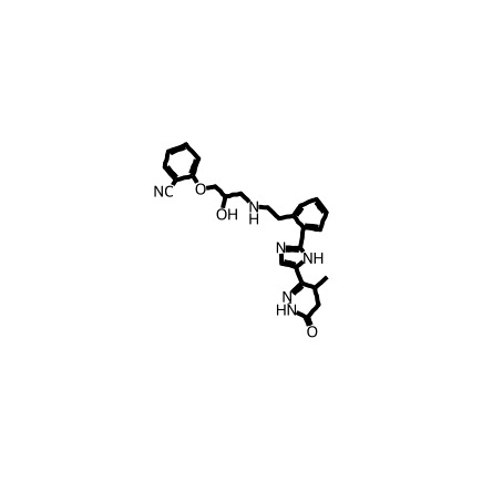 CC1CC(=O)NN=C1c1cnc(-c2ccccc2CCNCC(O)COc2ccccc2C#N)[nH]1